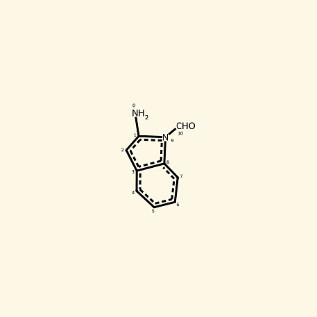 Nc1cc2ccccc2n1C=O